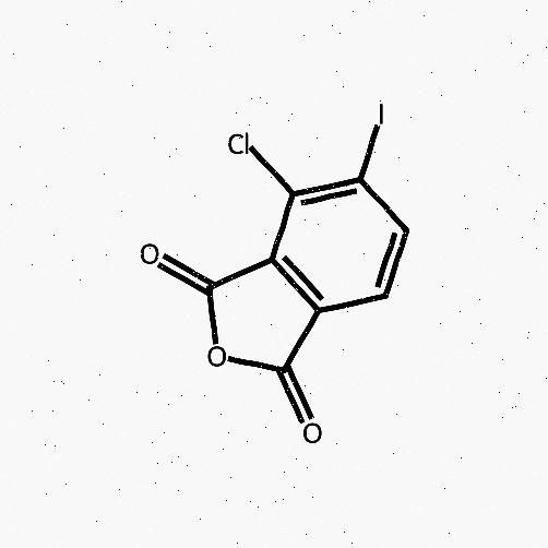 O=C1OC(=O)c2c1ccc(I)c2Cl